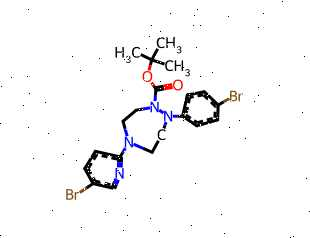 CC(C)(C)OC(=O)N1CCN(c2ccc(Br)cn2)CCN1c1ccc(Br)cc1